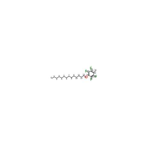 CCCCCCCCCCCCCCOc1c(F)c(F)c(C)c(F)c1F